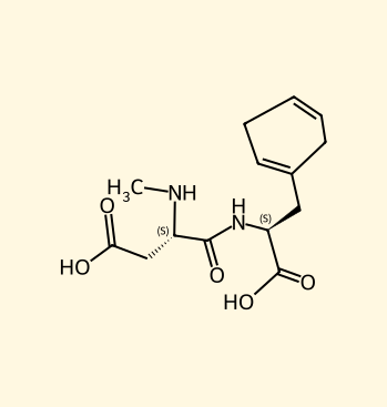 CN[C@@H](CC(=O)O)C(=O)N[C@@H](CC1=CCC=CC1)C(=O)O